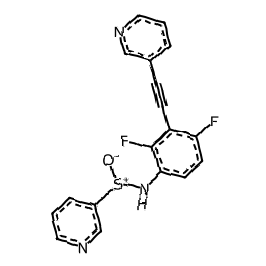 [O-][S+](Nc1ccc(F)c(C#Cc2cccnc2)c1F)c1cccnc1